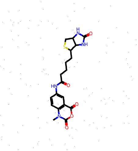 Cn1c(=O)oc(=O)c2cc(NC(=O)CCCCC3SCC4NC(=O)NC43)ccc21